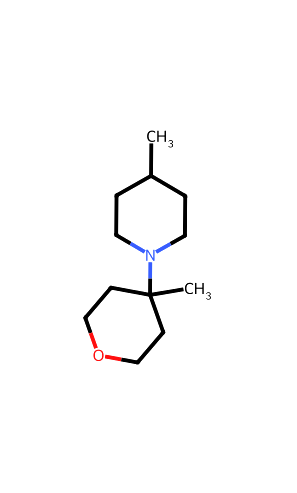 CC1CCN(C2(C)CCOCC2)CC1